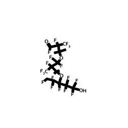 CC(C)(OC(F)(F)C(F)(C(F)(F)F)C(C)(C)OC(F)(C(F)(F)CF)C(F)(F)C(O)(F)F)C(F)(C(=O)F)C(F)(F)F